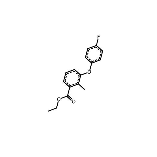 CCOC(=O)c1cccc(Oc2ccc(F)cc2)c1C